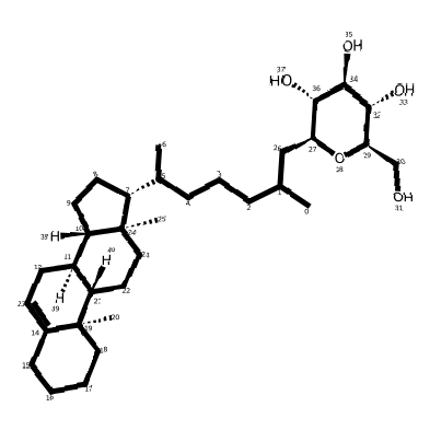 CC(CCCC(C)[C@H]1CC[C@H]2[C@@H]3CC=C4CCCC[C@]4(C)[C@H]3CC[C@]12C)C[C@@H]1O[C@H](CO)[C@@H](O)[C@H](O)[C@H]1O